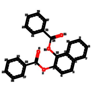 O=C(Oc1ccc2ccccc2c1OC(=O)c1ccccc1)c1ccccc1